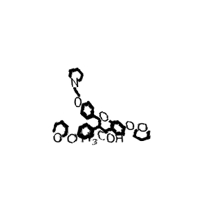 CC1(O)c2ccc(OC3CCCCO3)cc2OC(c2ccc(OCCN3CCCCC3)cc2)C1c1ccc(OC2CCCCO2)cc1